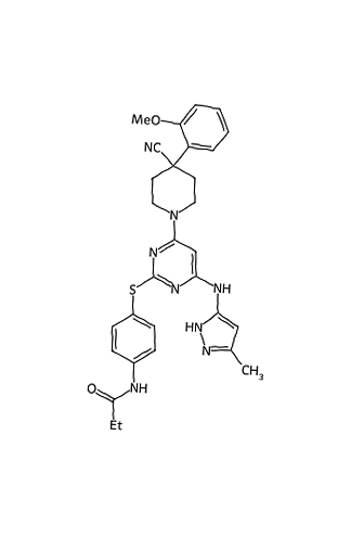 CCC(=O)Nc1ccc(Sc2nc(Nc3cc(C)n[nH]3)cc(N3CCC(C#N)(c4ccccc4OC)CC3)n2)cc1